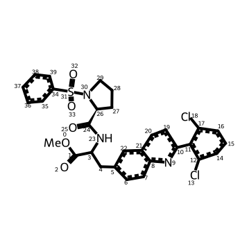 COC(=O)C(Cc1ccc2nc(-c3c(Cl)cccc3Cl)ccc2c1)NC(=O)[C@@H]1CCCN1S(=O)(=O)c1ccccc1